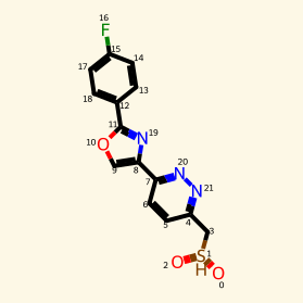 O=[SH](=O)Cc1ccc(-c2coc(-c3ccc(F)cc3)n2)nn1